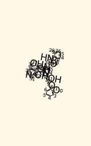 COc1ccccc1OCC(O)CN1CCN(CC(=O)Nc2c(C)cccc2C)CC1.Cc1ncc(CO)c(CO)c1O